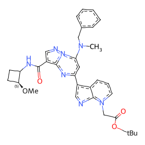 CO[C@H]1CCC1NC(=O)c1cnn2c(N(C)Cc3ccccc3)cc(-c3cnc4n(CC(=O)OC(C)(C)C)cccc3-4)nc12